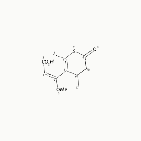 CO/C(=C/C(=O)O)C1=C(C)SC(=O)CC1C